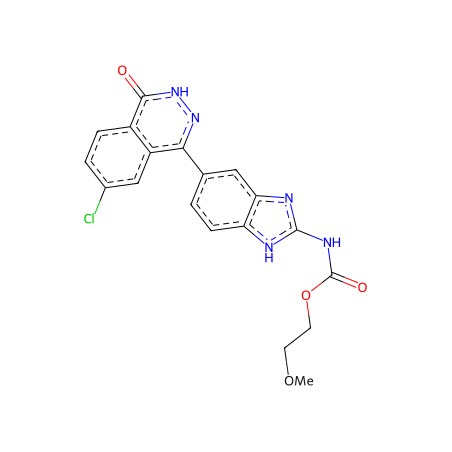 COCCOC(=O)Nc1nc2cc(-c3n[nH]c(=O)c4ccc(Cl)cc34)ccc2[nH]1